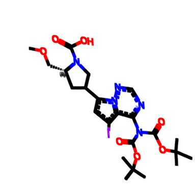 COC[C@H]1CC(c2cc(I)c3c(N(C(=O)OC(C)(C)C)C(=O)OC(C)(C)C)ncnn23)CN1C(=O)O